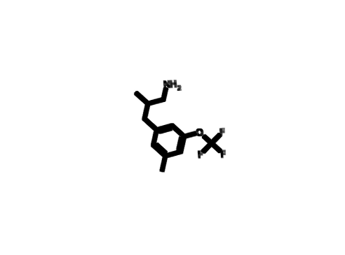 Cc1cc(CC(C)CN)cc(OC(F)(F)F)c1